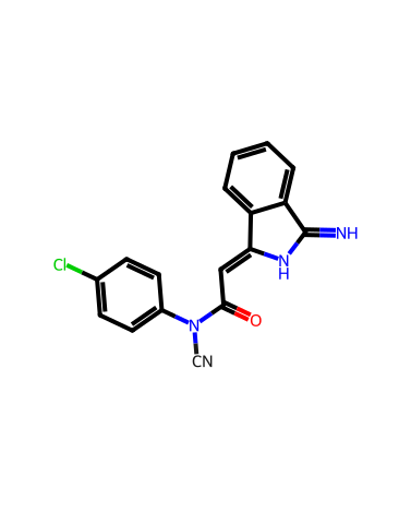 N#CN(C(=O)C=C1NC(=N)c2ccccc21)c1ccc(Cl)cc1